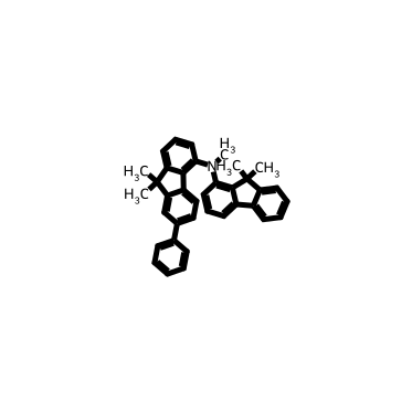 CN(c1cccc2c1-c1ccc(-c3ccccc3)cc1C2(C)C)c1cccc2c1C(C)(C)c1ccccc1-2